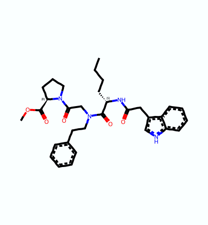 CCCC[C@H](NC(=O)Cc1c[nH]c2ccccc12)C(=O)N(CCc1ccccc1)CC(=O)N1CCC[C@@H]1C(=O)OC